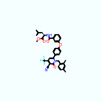 COC(=O)[C@@H](CC(C)C)NC(=O)c1cccc(Oc2ccc(-c3cc(C(F)(F)F)c(C#N)c(=O)n3Cc3ccc(C)cc3C)cc2)c1